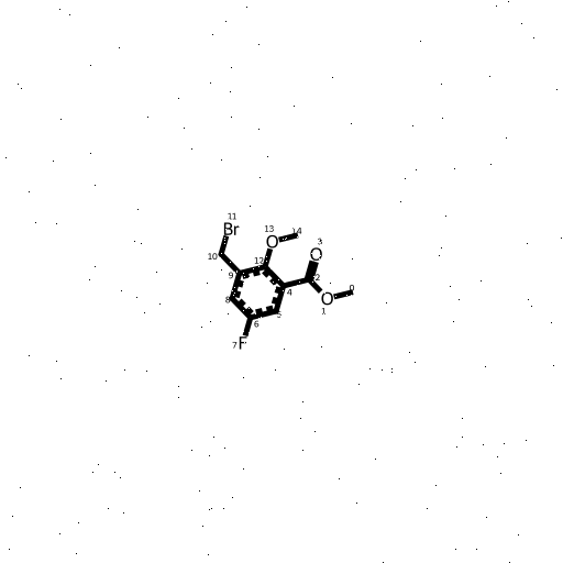 COC(=O)c1cc(F)cc(CBr)c1OC